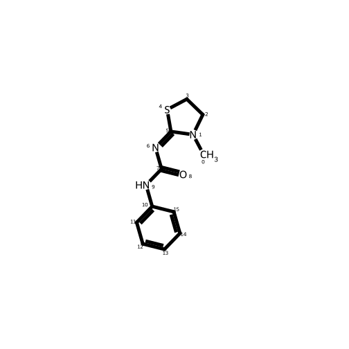 CN1CCSC1=NC(=O)Nc1ccccc1